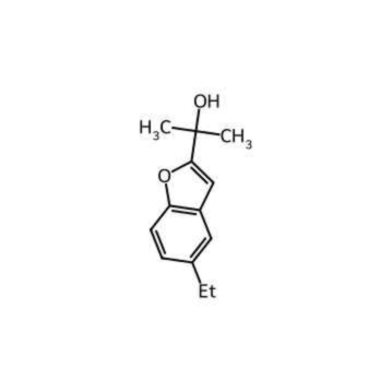 CCc1ccc2oc(C(C)(C)O)cc2c1